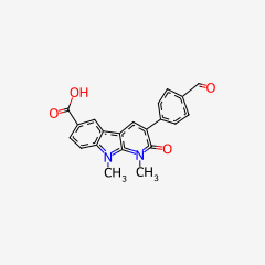 Cn1c(=O)c(-c2ccc(C=O)cc2)cc2c3cc(C(=O)O)ccc3n(C)c21